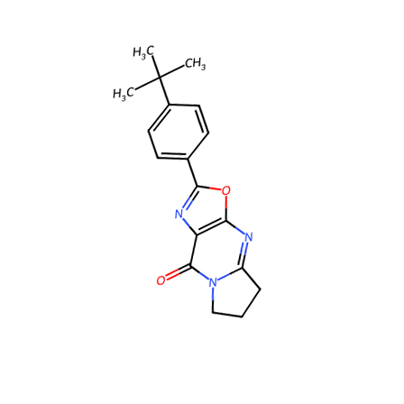 CC(C)(C)c1ccc(-c2nc3c(=O)n4c(nc3o2)CCC4)cc1